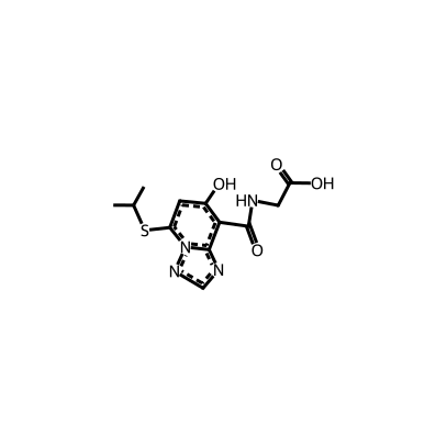 CC(C)Sc1cc(O)c(C(=O)NCC(=O)O)c2ncnn12